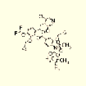 CC(C)(C)OC(=O)N(c1ccc(C(=O)OC(Cc2c(Cl)cncc2Cl)c2ccc(OC(F)F)c(OCC3CC3)c2)cc1OCC1CC1)S(C)(=O)=O